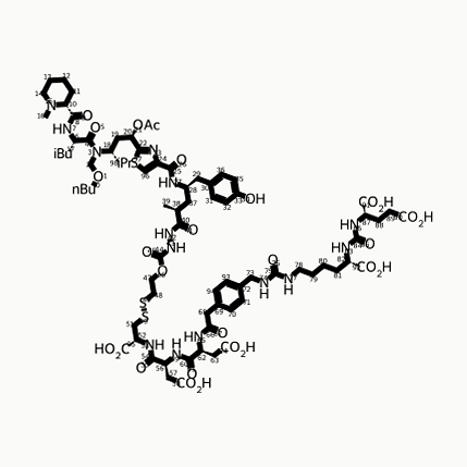 CCCCOCN(C(=O)[C@@H](NC(=O)[C@H]1CCCCN1C)C(C)CC)[C@H](C[C@@H](OC(C)=O)c1nc(C(=O)N[C@@H](Cc2ccc(O)cc2)C[C@H](C)C(=O)NNC(=O)OCCSSC[C@H](NC(=O)[C@H](CC(=O)O)NC(=O)[C@H](CC(=O)O)NC(=O)Cc2ccc(CNC(=O)NCCCC[C@H](NC(=O)N[C@@H](CCC(=O)O)C(=O)O)C(=O)O)cc2)C(=O)O)cs1)C(C)C